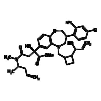 C=CCC(C)N(C)C(=O)C[C@@](O)(C(=O)OC)c1ccc2c(c1)N(CC1CCC1C(O)C=C)CC(c1ccc(Cl)cc1CCC)CO2